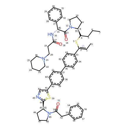 C/C=C(\SC(CCC)[C@@H]1CCCN1C(=O)[C@H](NC(=O)CCN1CCCCC1)c1ccccc1)c1ccc(-c2ccc(-c3cnc([C@@H]4CCCN4C(=O)Cc4ccccc4)s3)cc2)cc1